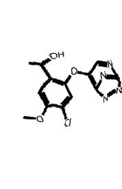 COc1cc(C(C)O)c(Oc2cnc3nc2N=N3)cc1Cl